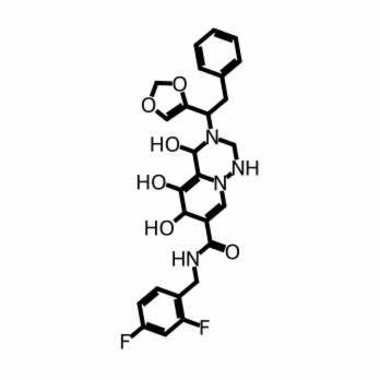 O=C(NCc1ccc(F)cc1F)C1=CN2NCN(C(Cc3ccccc3)C3=COCO3)C(O)C2=C(O)C1O